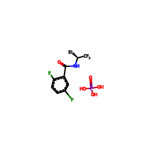 CC[C@H](NC(=O)c1cc(F)ccc1F)C(F)(F)F.O=P(O)(O)O